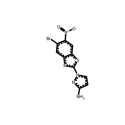 Nc1ccn(-c2nc3cc(Br)c([N+](=O)[O-])cc3s2)n1